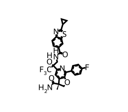 C[C@]1(C(N)=O)COc2c1cc(C(O)(CNC(=O)c1ccc3nc(C4CC4)sc3c1)C(F)(F)F)nc2-c1ccc(F)cc1